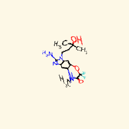 CN1C(=O)C(F)(F)Oc2cc3c(cc21)nc(N)n3CCC(C)(C)O